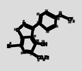 CCOC(=O)c1nc(Br)c2onc(-c3ccc(OC(F)(F)F)cc3)c2c1O